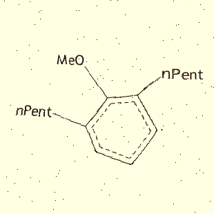 CCCCCc1[c]ccc(CCCCC)c1OC